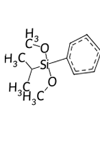 CO[Si](OC)(c1ccccc1)C(C)C